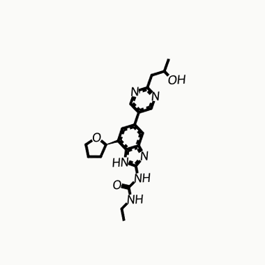 CCNC(=O)Nc1nc2cc(-c3cnc(CC(C)O)nc3)cc([C@H]3CCCO3)c2[nH]1